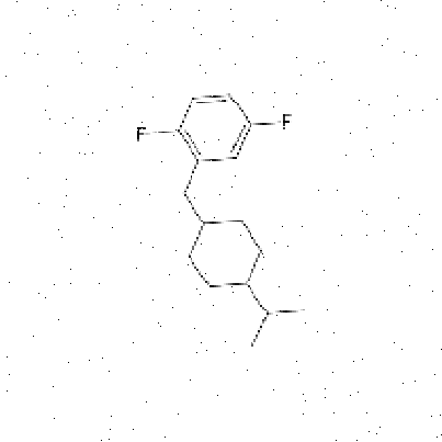 CC(C)C1CCC(Cc2cc(F)ccc2F)CC1